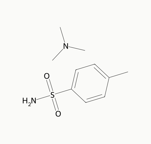 CN(C)C.Cc1ccc(S(N)(=O)=O)cc1